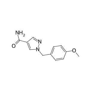 COc1ccc(Cn2cc(C(N)=O)cn2)cc1